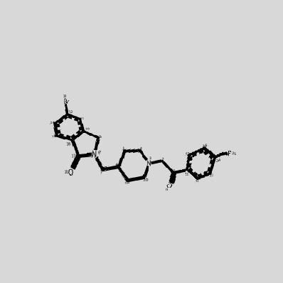 O=C(CN1CCC(CN2Cc3cc(Br)ccc3C2=O)CC1)c1ccc(F)cc1